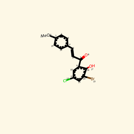 COc1ccc(C=CC(=O)c2cc(Cl)cc(Br)c2O)cc1